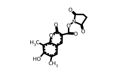 Cc1cc2cc(C(=O)ON3C(=O)CCC3=O)c(=O)oc2c(C)c1O